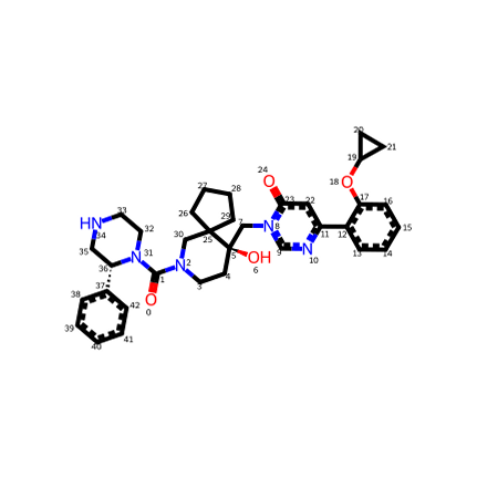 O=C(N1CC[C@@](O)(Cn2cnc(-c3ccccc3OC3CC3)cc2=O)C2(CCCC2)C1)N1CCNC[C@H]1c1ccccc1